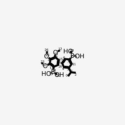 CC(C)c1cccc(B(O)O)c1.COc1ccc(B(O)O)c(OC)c1OC